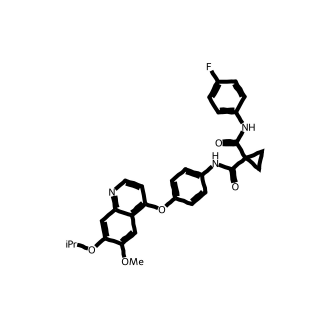 COc1cc2c(Oc3ccc(NC(=O)C4(C(=O)Nc5ccc(F)cc5)CC4)cc3)ccnc2cc1OC(C)C